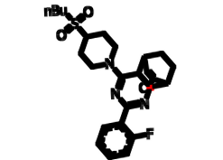 CCCCS(=O)(=O)C1CCN(C2=NC(c3ccccc3F)=NC3C4CCC(C=C4Cl)C23)CC1